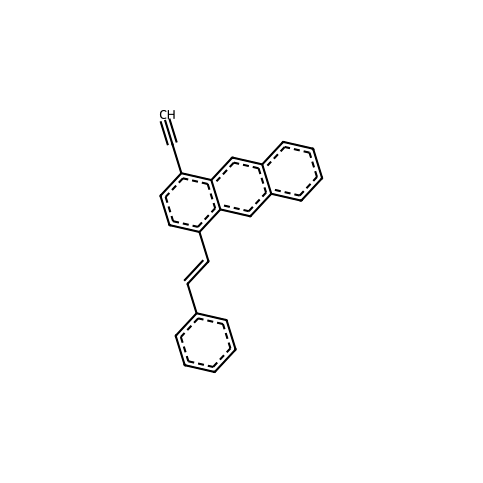 C#Cc1ccc(C=Cc2ccccc2)c2cc3ccccc3cc12